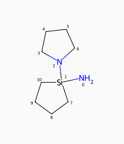 N[Si]1(N2CCCC2)CCCC1